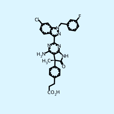 C[C@]1(c2ccc(CCC(=O)O)cc2)C(=O)Nc2nc(-c3nn(Cc4cccc(F)c4)c4cc(Cl)ccc34)nc(N)c21